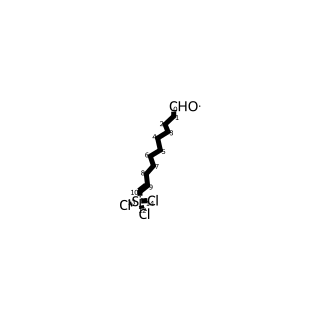 O=[C]CCCCCCCC/C=C/[Si](Cl)(Cl)Cl